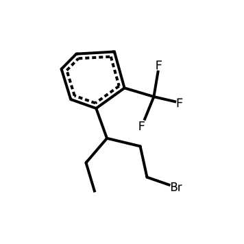 CCC(CCBr)c1ccccc1C(F)(F)F